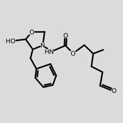 CC(CCC=O)COC(=O)NN1COC(O)C1Cc1ccccc1